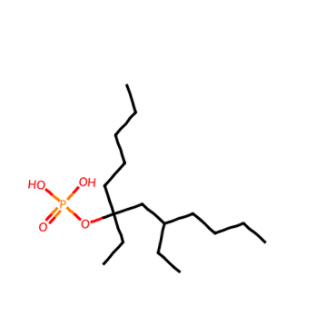 CCCCCC(CC)(CC(CC)CCCC)OP(=O)(O)O